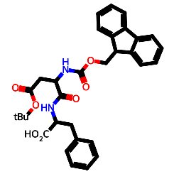 CC(C)(C)OC(=O)CC(NC(=O)OCC1c2ccccc2-c2ccccc21)C(=O)NC(Cc1ccccc1)C(=O)O